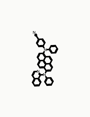 N#Cc1ccc(N(c2ccccc2)c2ccc3ccc4c(N(c5ccccc5)c5nccc6ccccc56)ccc5ccc2c3c54)cc1